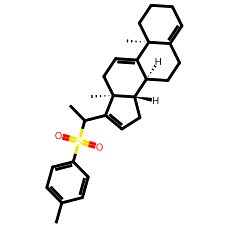 Cc1ccc(S(=O)(=O)C(C)C2=CC[C@H]3[C@@H]4CCC5=CCCC[C@]5(C)C4=CC[C@]23C)cc1